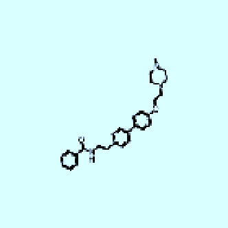 CN1CCN(CCOc2ccc(-c3ccc(CCNC(=O)c4ccccc4)cc3)cc2)CC1